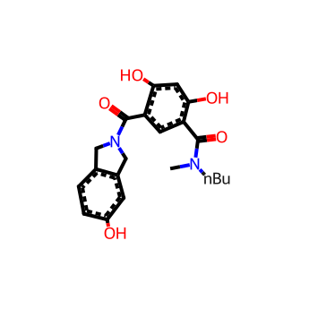 CCCCN(C)C(=O)c1cc(C(=O)N2Cc3ccc(O)cc3C2)c(O)cc1O